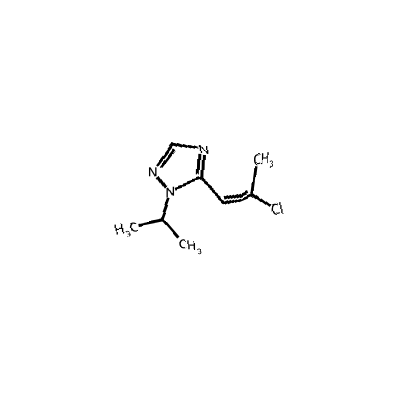 C/C(Cl)=C\c1ncnn1C(C)C